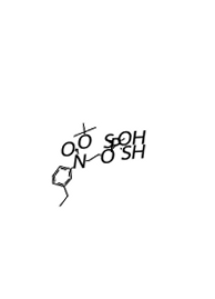 CCc1cccc(N(CCOP(O)(=S)S)C(=O)OC(C)(C)C)c1